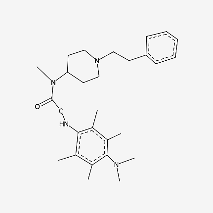 Cc1c(C)c(N(C)C)c(C)c(C)c1NCC(=O)N(C)C1CCN(CCc2ccccc2)CC1